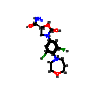 NC(=O)[C@H]1CN(c2cc(F)c(N3CCCOCC3)c(F)c2)C(=O)O1